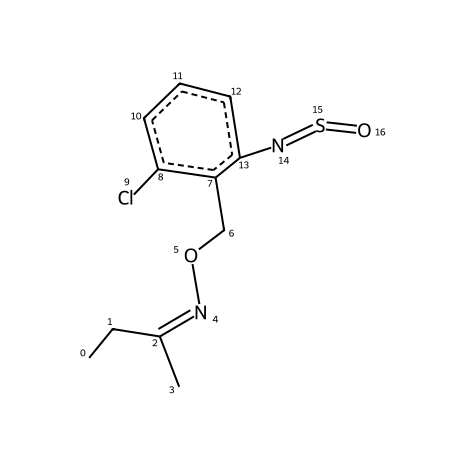 CCC(C)=NOCc1c(Cl)cccc1N=S=O